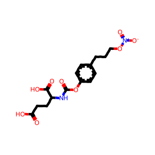 O=C(O)CCC(NC(=O)Oc1ccc(CCCO[N+](=O)[O-])cc1)C(=O)O